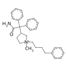 C[N+]1(CCCCc2ccccc2)CCC(C(C(N)=O)(c2ccccc2)c2ccccc2)C1